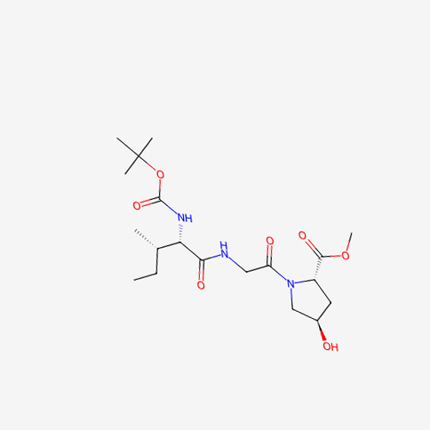 CC[C@H](C)[C@H](NC(=O)OC(C)(C)C)C(=O)NCC(=O)N1C[C@H](O)C[C@H]1C(=O)OC